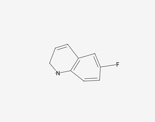 Fc1ccc2c(c1)C=CC[N]2